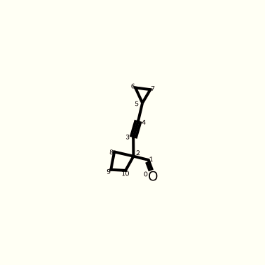 O=CC1(C#CC2CC2)CCC1